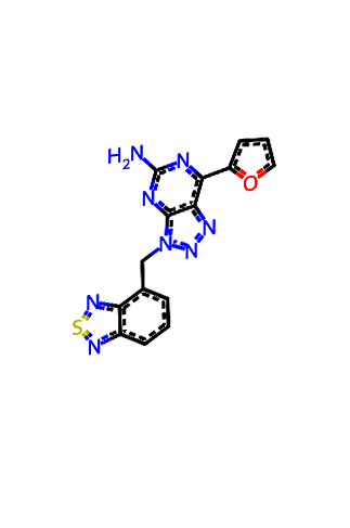 Nc1nc(-c2ccco2)c2nnn(Cc3cccc4nsnc34)c2n1